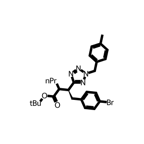 CCCC(C(=O)OC(C)(C)C)[C@H](Cc1ccc(Br)cc1)c1nnn(Cc2ccc(C)cc2)n1